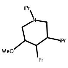 COC1CN(C(C)C)CC(C(C)C)C1C(C)C